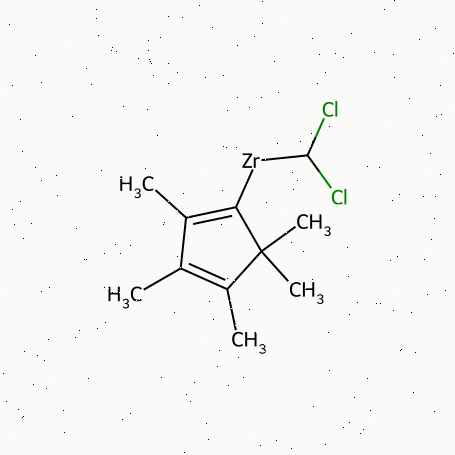 CC1=C(C)C(C)(C)[C]([Zr][CH](Cl)Cl)=C1C